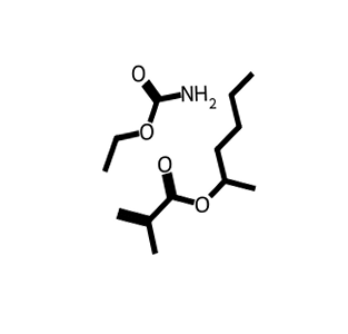 C=C(C)C(=O)OC(C)CCCC.CCOC(N)=O